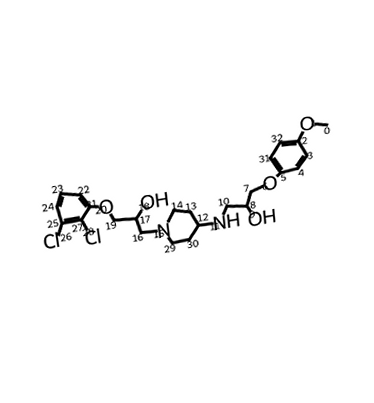 COc1ccc(OCC(O)CNC2CCN(CC(O)COc3cccc(Cl)c3Cl)CC2)cc1